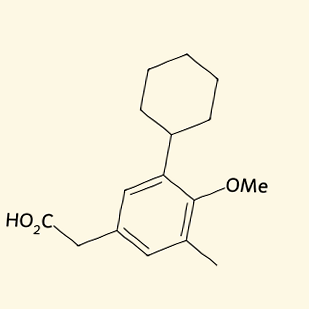 COc1c(C)cc(CC(=O)O)cc1C1CCCCC1